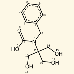 O=C(O)N(Cc1ccccc1)C(CO)(CO)CO